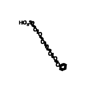 O=S(=O)(O)OCCOCCOCCOCCOCCOCCOCCOc1ccccc1